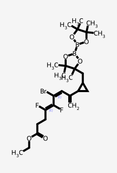 C=C(/C=C(Br)\C(F)=C(/F)CCC(=O)OCC)C1CC1CC1(C)OB(B2OC(C)(C)C(C)(C)O2)OC1(C)C